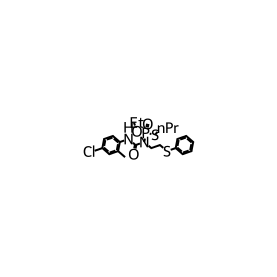 CCCSP(=O)(OCC)N(CCSc1ccccc1)C(=O)Nc1ccc(Cl)cc1C